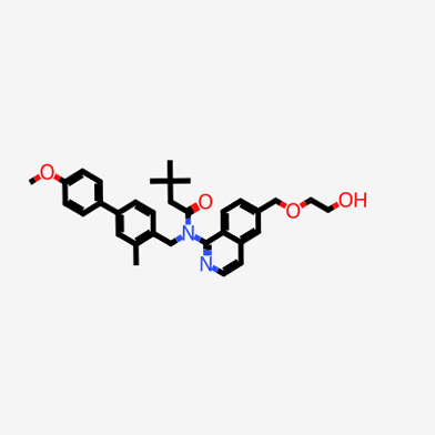 COc1ccc(-c2ccc(CN(C(=O)CC(C)(C)C)c3nccc4cc(COCCO)ccc34)c(C)c2)cc1